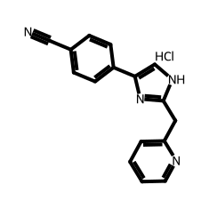 Cl.N#Cc1ccc(-c2c[nH]c(Cc3ccccn3)n2)cc1